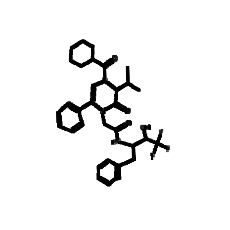 CC(C)C1C(=O)N(CC(=O)NC(Cc2ccccc2)C(O)C(F)(F)F)C(c2ccccc2)=CN1C(=O)C1CCCCC1